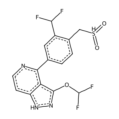 O=[SH](=O)Cc1ccc(-c2nccc3[nH]nc(OC(F)F)c23)cc1C(F)F